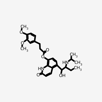 CCC(NC(C)C)C(O)c1ccc(OC(=O)CCc2ccc(OC)c(OC)c2)c2[nH]c(=O)ccc12